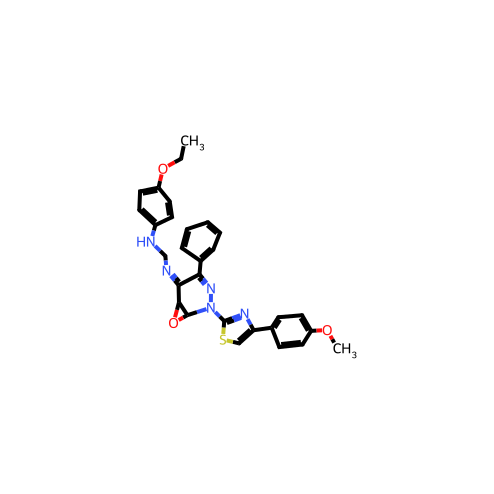 CCOc1ccc(NC/N=C2\C(c3ccccc3)=NN(c3nc(-c4ccc(OC)cc4)cs3)C3OC23)cc1